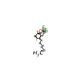 CCCCCCc1cccc(OC(F)(F)F)c1